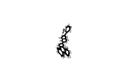 c1ccc(-c2ccc3cc(-c4ccc5c6ccccc6c6ccccc6c5c4)ccc3c2)nc1